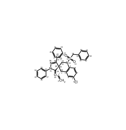 C=C[C@H]1c2cc(Cl)ccc2N(S(=O)(=O)Cc2ccccc2)[C@@H](c2ccccc2)[C@]12C(=O)N(c1ccccc1)N=C2C